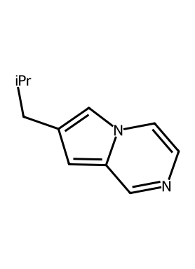 CC(C)Cc1cc2cnccn2c1